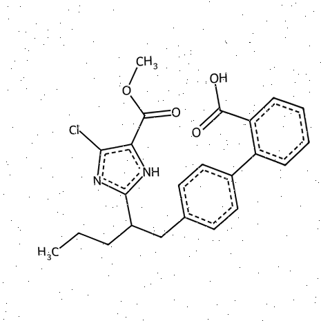 CCCC(Cc1ccc(-c2ccccc2C(=O)O)cc1)c1nc(Cl)c(C(=O)OC)[nH]1